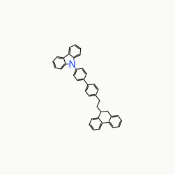 c1ccc2c(c1)CC(CCc1ccc(-c3ccc(-n4c5ccccc5c5ccccc54)cc3)cc1)c1ccccc1-2